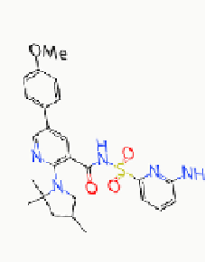 COc1ccc(-c2cnc(N3CC(C)CC3(C)C)c(C(=O)NS(=O)(=O)c3cccc(N)n3)c2)cc1